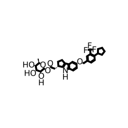 C[C@H]1OC(OC(=O)C[C@@H]2CCc3c2[nH]c2ccc(OCc4ccc(C5CCCC5)c(C(F)(F)F)c4)cc32)[C@H](O)[C@@H](O)[C@@H]1O